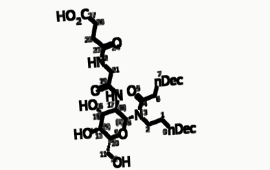 CCCCCCCCCCCCN(C(=O)CCCCCCCCCCC)[C@@H]1O[C@H](CO)[C@@H](O)[C@H](O)[C@H]1NC(=O)CNC(=O)CCC(=O)O